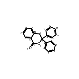 O=C1OC(c2ccccc2)(c2ccccc2)Cc2ccccc21